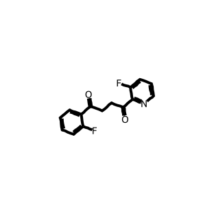 O=C(CCC(=O)c1ncccc1F)c1ccccc1F